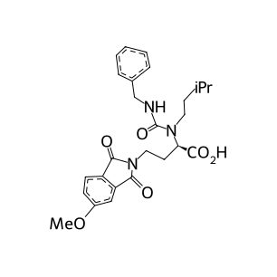 COc1ccc2c(c1)C(=O)N(CC[C@H](C(=O)O)N(CCC(C)C)C(=O)NCc1ccccc1)C2=O